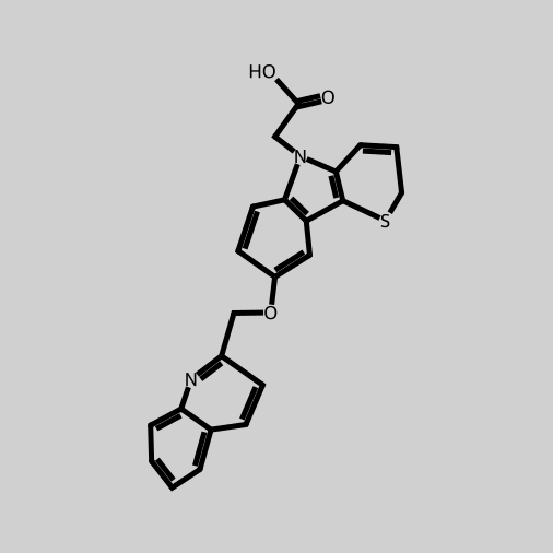 O=C(O)Cn1c2c(c3cc(OCc4ccc5ccccc5n4)ccc31)SCC=C2